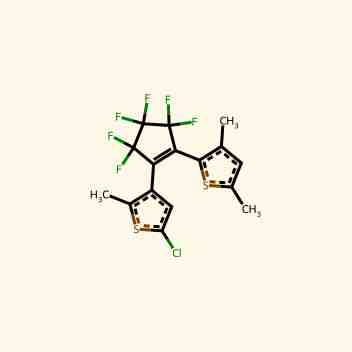 Cc1cc(C)c(C2=C(c3cc(Cl)sc3C)C(F)(F)C(F)(F)C2(F)F)s1